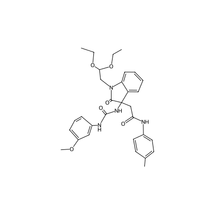 CCOC(CN1C(=O)C(CC(=O)Nc2ccc(C)cc2)(NC(=O)Nc2cccc(OC)c2)c2ccccc21)OCC